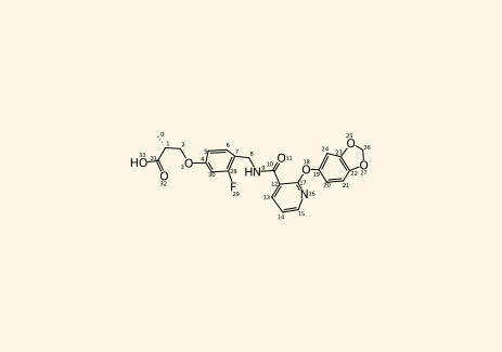 C[C@H](COc1ccc(CNC(=O)c2cccnc2Oc2ccc3c(c2)OCO3)c(F)c1)C(=O)O